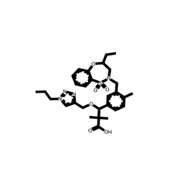 CCCn1cc(COC(c2ccc(C)c(CN3CC(CC)Oc4ccccc4S3(=O)=O)c2)C(C)(C)C(=O)O)nn1